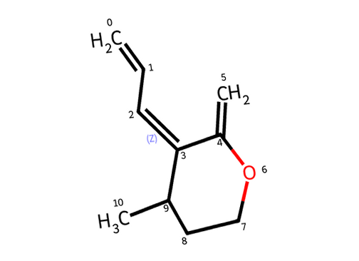 C=C/C=C1\C(=C)OCCC1C